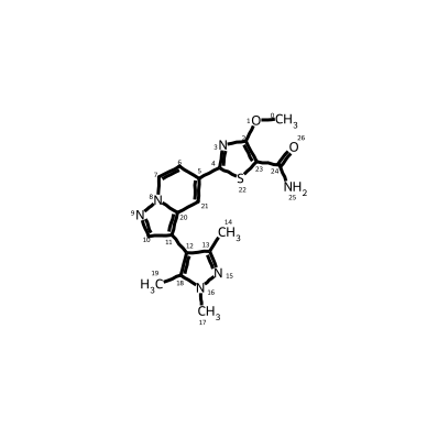 COc1nc(-c2ccn3ncc(-c4c(C)nn(C)c4C)c3c2)sc1C(N)=O